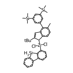 Cc1ccc2c(c1-c1cc([Si](C)(C)C)cc([Si](C)(C)C)c1)C=C(C(C)(C)C)[CH]2[Zr]([Cl])([Cl])[c]1cccc2c1[SiH2]c1ccccc1-2